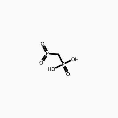 O=P(=O)CP(=O)(O)O